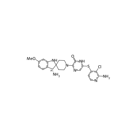 COc1ccc2c(c1)NC1(CCN(c3ncc(Sc4ccnc(N)c4Cl)[nH]c3=O)CC1)[C@@H]2N